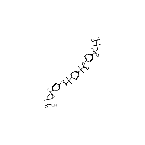 CC(C)(CS(=O)(=O)c1ccc(OC(=O)C(C)(C)c2ccc(C(C)(C)C(=O)Oc3ccc(S(=O)(=O)CC(C)(C)C(=O)O)cc3)cc2)cc1)C(=O)O